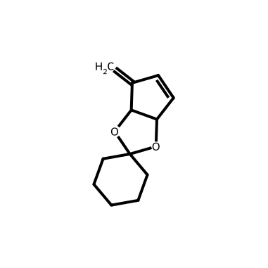 C=C1C=CC2OC3(CCCCC3)OC12